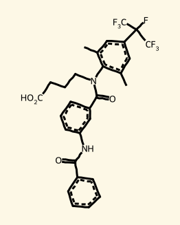 Cc1cc(C(F)(C(F)(F)F)C(F)(F)F)cc(C)c1N(CCCC(=O)O)C(=O)c1cccc(NC(=O)c2ccccc2)c1